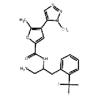 Cc1oc(C(=O)NC(CN)Cc2ccccc2C(F)(F)F)cc1-c1cnnn1C